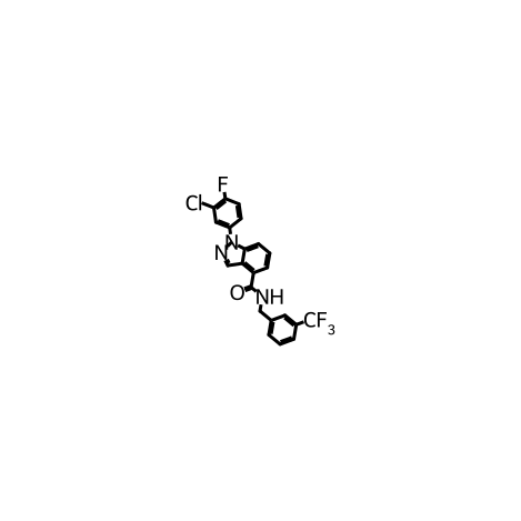 O=C(NCc1cccc(C(F)(F)F)c1)c1cccc2c1cnn2-c1ccc(F)c(Cl)c1